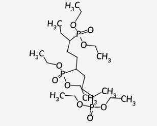 CCOP(=O)(OCC)C(C)CCC(CCC(CC)P(=O)(OCC)OCC)P(=O)(OCC)OCC